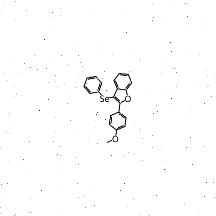 COc1ccc(-c2oc3ccccc3c2[Se]c2ccccc2)cc1